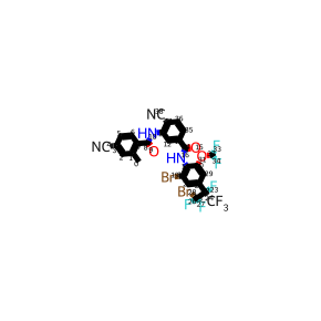 Cc1cc(C#N)ccc1C(=O)Nc1cc(C(=O)Nc2c(Br)cc(C(F)(C(F)(F)F)C(F)(F)Br)cc2OC(F)F)ccc1C#N